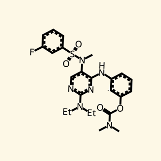 CCN(CC)c1ncc(N(C)S(=O)(=O)c2cccc(F)c2)c(Nc2[c]c(OC(=O)N(C)C)ccc2)n1